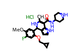 COc1cc(C2NC(C)=C(C(=O)NC3CCNCC3)c3[nH]ccc32)c(OCC2CC2)cc1F.Cl